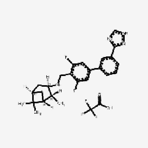 C[C@@H]1[C@H]2C[C@H](C[C@H]1NCc1c(F)cc(-c3cccc(-c4nc[nH]n4)c3)cc1F)C2(C)C.O=C(O)C(F)(F)F